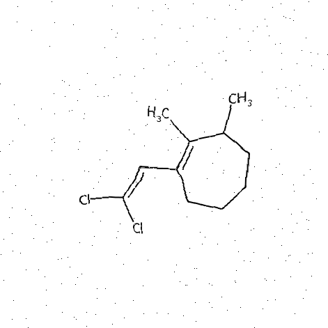 CC1=C(C=C(Cl)Cl)CCCCC1C